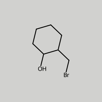 OC1CCCCC1CBr